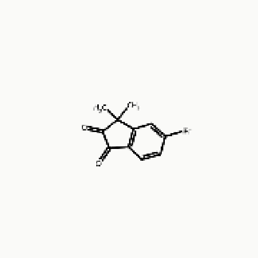 CC(C)c1ccc2c(c1)C(C)(C)C(=O)C2=O